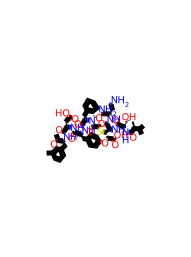 CC(=O)[C@H](Cc1cccc(C)c1)NC(=O)[C@H](CC(=O)O)NC(=O)[C@H](Cc1ccc(OCC(=O)O)cc1)NC(=O)[C@H](Cc1ccccc1)N(C)C(=O)CSC[C@H](NC(=O)[C@H](CO)NC(=O)[C@@H](C)C(C)C)C(=O)N[C@@H](CCN)C(N)=O